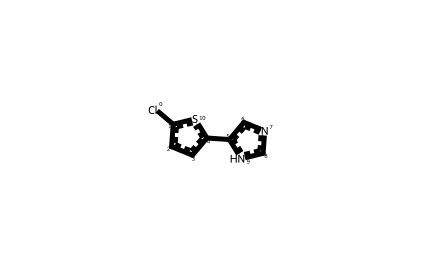 Clc1ccc(-c2cnc[nH]2)s1